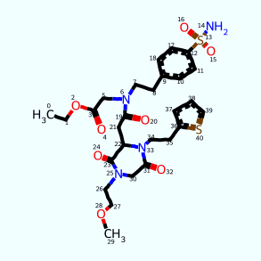 CCOC(=O)CN(CCc1ccc(S(N)(=O)=O)cc1)C(=O)CC1C(=O)N(CCOC)CC(=O)N1CCc1cccs1